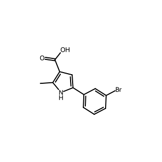 Cc1[nH]c(-c2cccc(Br)c2)cc1C(=O)O